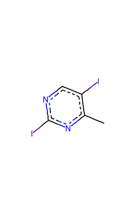 Cc1nc(I)ncc1I